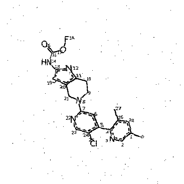 Cc1cnc(-c2cc(N3CCc4nc(NC(=O)OF)sc4C3)ncc2Cl)c(C)c1